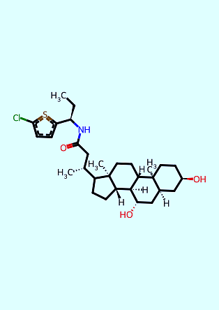 CC[C@@H](NC(=O)C[C@@H](C)C1CC[C@H]2[C@@H]3[C@@H](O)C[C@@H]4C[C@H](O)CC[C@]4(C)[C@H]3CC[C@]12C)c1ccc(Cl)s1